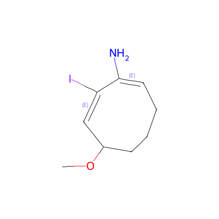 COC1/C=C(I)\C(N)=C/CCC1